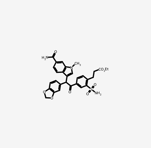 CCOC(=O)CCc1ccc(C(=O)C(c2ccc3c(c2)OCO3)c2cn(C)c3cc(C(N)=O)ccc23)cc1S(N)(=O)=O